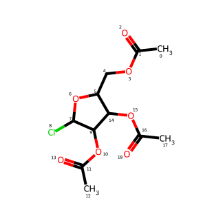 CC(=O)OCC1OC(Cl)C(OC(C)=O)C1OC(C)=O